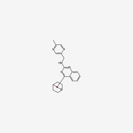 Cc1cnc(CNc2nc(N3CC4CCC(CC4)C3)c3ccccc3n2)cn1